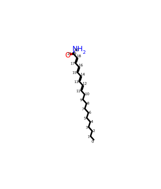 CCCCCCCCCCCC=CC=CC=CC=CC(N)=O